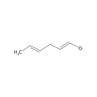 CC=CCC=C[O]